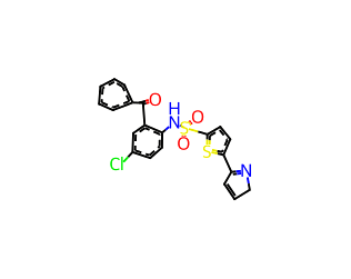 O=C(c1ccccc1)c1cc(Cl)ccc1NS(=O)(=O)c1ccc(C2=NCC=C2)s1